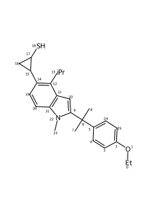 CCOc1ccc(C(C)(C)c2cc3c(C(C)C)c(C4CC4S)ccc3n2C)cc1